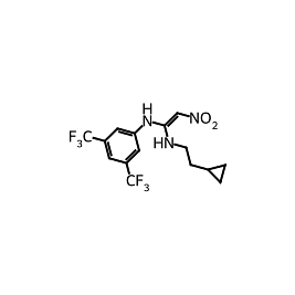 O=[N+]([O-])C=C(NCCC1CC1)Nc1cc(C(F)(F)F)cc(C(F)(F)F)c1